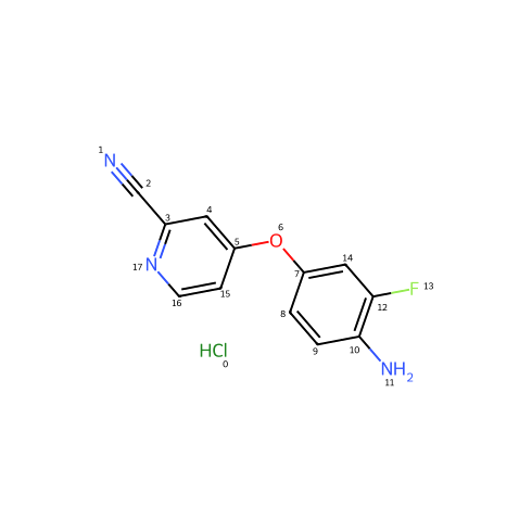 Cl.N#Cc1cc(Oc2ccc(N)c(F)c2)ccn1